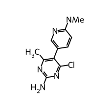 CNc1ccc(-c2c(C)nc(N)nc2Cl)cn1